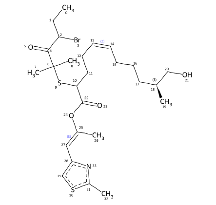 CCC(Br)C(=O)C(C)(C)SC(CC/C=C\CCC[C@H](C)CO)C(=O)O/C(C)=C/c1csc(C)n1